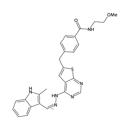 COCCNC(=O)c1ccc(Cc2cc3c(N/N=C\c4c(C)[nH]c5ccccc45)ncnc3s2)cc1